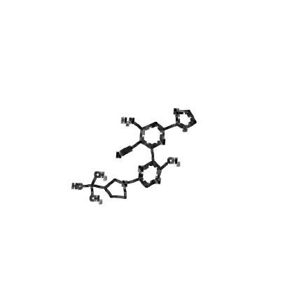 Cc1ncc(N2CCC(C(C)(C)O)C2)nc1-c1nc(-c2nccs2)cc(N)c1C#N